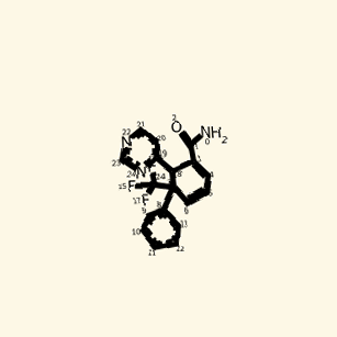 NC(=O)C1=CC=CC(c2ccccc2)(C(F)(F)F)C1c1ccncn1